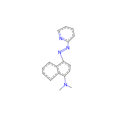 CN(C)c1ccc(N=Nc2ccccn2)c2ccccc12